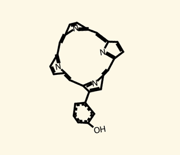 Oc1cccc(C2=CC3=CC4=NC(=CC5=NC(=CC6=NC(=CC2=N3)C=C6)C=C5)C=C4)c1